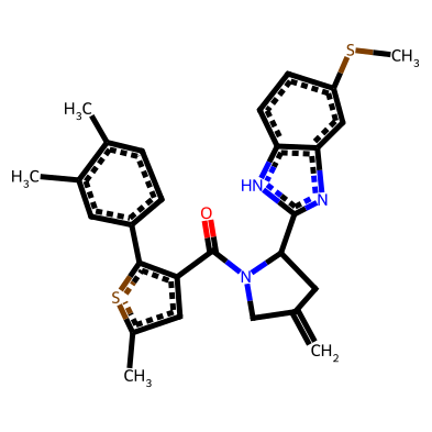 C=C1CC(c2nc3cc(SC)ccc3[nH]2)N(C(=O)c2cc(C)sc2-c2ccc(C)c(C)c2)C1